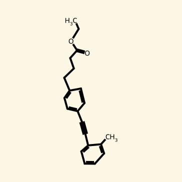 CCOC(=O)CCCc1ccc(C#Cc2ccccc2C)cc1